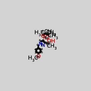 COc1ccc(Cn2cc(B3OC(C)(C)C(C)(C)O3)c(C(C)O)n2)cc1